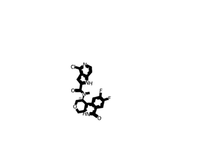 CN(C(=O)c1cc2c(Cl)nccc2[nH]1)[C@@H]1COCc2[nH]c(=O)c3cc(F)c(F)cc3c21